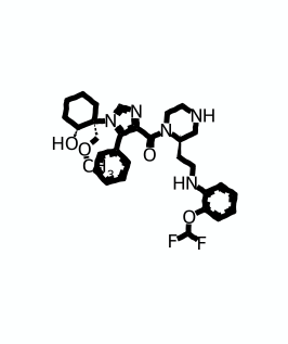 COC[C@@]1(n2cnc(C(=O)N3CCNC[C@H]3CCNc3ccccc3OC(F)F)c2-c2ccccc2)CCCC[C@H]1O